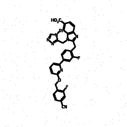 CCn1cnnc1Cn1c(Cc2ccc(-c3cccc(OCc4ccc(C#N)cc4F)n3)cc2F)nc2ccc(C(=O)O)cc21